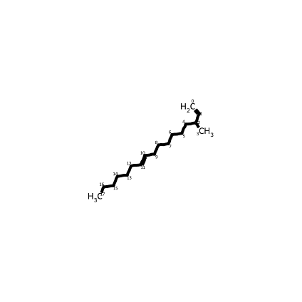 C=CC(C)CCCCCCC=CCCCCCC